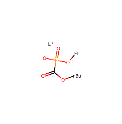 CCCCOC(=O)P(=O)([O-])OCC.[Li+]